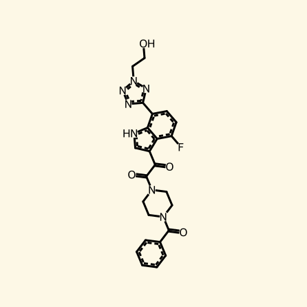 O=C(C(=O)N1CCN(C(=O)c2ccccc2)CC1)c1c[nH]c2c(-c3nnn(CCO)n3)ccc(F)c12